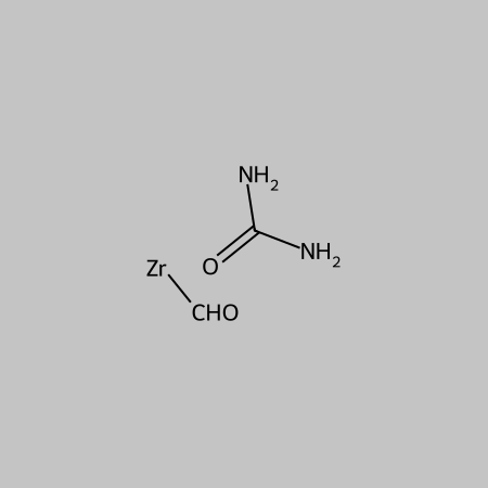 NC(N)=O.O=[CH][Zr]